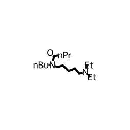 CCCCN(CCCCCN(CC)CC)C(=O)CCC